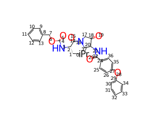 CC(C)C[C@H](NC(=O)OCc1ccccc1)C(=O)N1CC(=O)C(NC(=O)c2ccc(Oc3ccccc3)cc2)C1